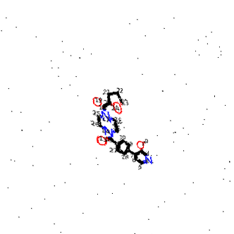 COc1cnccc1-c1ccc(C(=O)N2CCN(C(=O)C3CCCO3)CC2)cc1